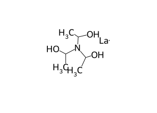 CC(O)N(C(C)O)C(C)O.[La]